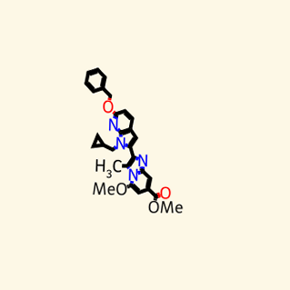 COC(=O)c1cc(OC)n2c(C)c(-c3cc4ccc(OCc5ccccc5)nc4n3CC3CC3)nc2c1